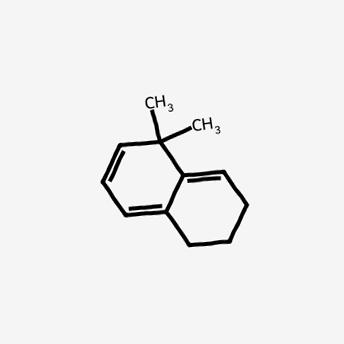 CC1(C)C=CC=C2CCCC=C21